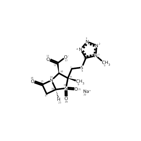 Cn1nnnc1SC[C@@]1(C)[C@H](C(=O)[O-])N2C(=O)C[C@@H]2S1(=O)=O.[Na+]